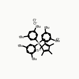 CC1=C(C)[C]([Ti+3])([Si](c2cc(C(C)(C)C)cc(C(C)(C)C)c2)(c2cc(C(C)(C)C)cc(C(C)(C)C)c2)c2cc(C(C)(C)C)cc(C(C)(C)C)c2)C(C)=C1C.[Cl-].[Cl-].[Cl-]